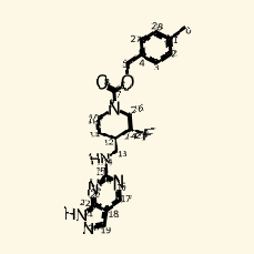 Cc1ccc(COC(=O)N2CC[C@H](CNc3ncc4cn[nH]c4n3)[C@H](F)C2)cc1